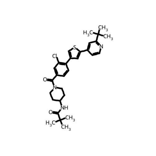 CC(C)(C)C(=O)NC1CCN(C(=O)c2ccc(-c3csc(-c4ccnc(C(C)(C)C)c4)c3)c(Cl)c2)CC1